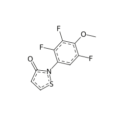 COc1c(F)cc(-n2sccc2=O)c(F)c1F